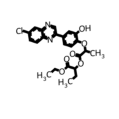 CCOC(=O)C(CC)OC(=O)C(C)Oc1ccc(-c2cnc3cc(Cl)ccc3n2)cc1O